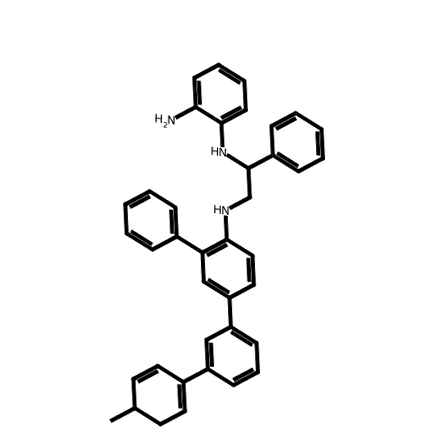 CC1C=CC(c2cccc(-c3ccc(NCC(Nc4ccccc4N)c4ccccc4)c(-c4ccccc4)c3)c2)=CC1